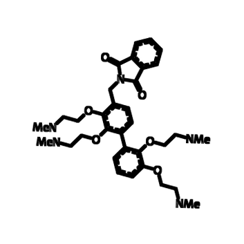 CNCCOc1cccc(-c2ccc(CN3C(=O)c4ccccc4C3=O)c(OCCNC)c2OCCNC)c1OCCNC